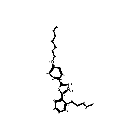 CCCCCCCOc1ccc(-c2nnc(-c3ccccc3CCCCC)s2)cc1